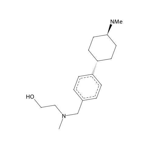 CN[C@H]1CC[C@H](c2ccc(CN(C)CCO)cc2)CC1